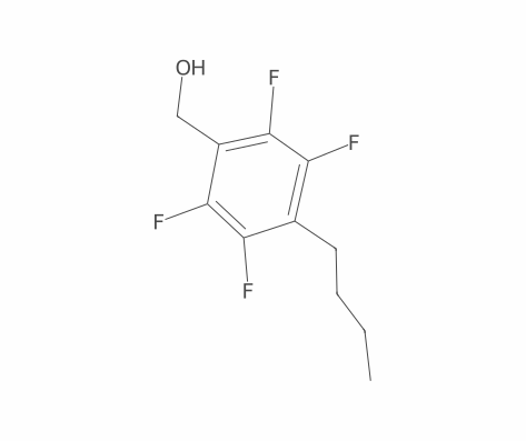 CCCCc1c(F)c(F)c(CO)c(F)c1F